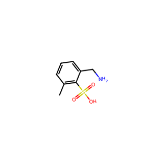 Cc1cccc(CN)c1S(=O)(=O)O